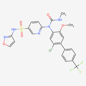 CNC(=O)N(c1ccc(S(=O)(=O)Nc2ccon2)cn1)c1cc(Cl)c(-c2ccc(C(F)(F)F)cc2)cc1OC